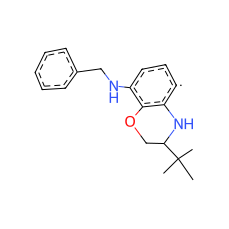 CC(C)(C)C1COc2c([c]ccc2NCc2ccccc2)N1